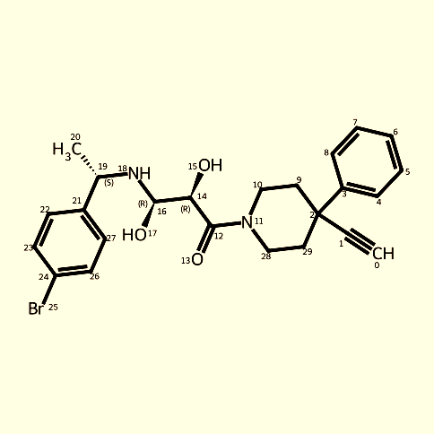 C#CC1(c2ccccc2)CCN(C(=O)[C@H](O)[C@@H](O)N[C@@H](C)c2ccc(Br)cc2)CC1